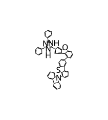 C1=CC2c3ccccc3N(c3cccc4c3sc3ccc(-c5cccc6oc7cc(C8NC(c9ccccc9)=NC(c9ccccc9)N8)ccc7c56)cc34)C2C=C1